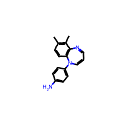 Cc1ccc2c(c1C)N=CC=CN2c1ccc(N)cc1